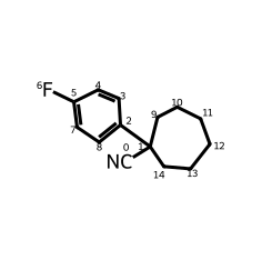 N#CC1(c2ccc(F)cc2)CCCCCC1